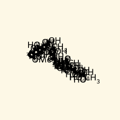 COc1cccc2c1C(=O)c1c(O)c3c(c(O)c1C2=O)C[C@@](O)(C(=O)CO)C[C@@H]3O[C@@H]1CC(NC(=O)C(CC(C)C)NC(=O)C(CC(N)=O)NC(=O)C(C)NC(=O)C(C)NC(=O)C(O)C(O)C(O)C(O)C(C)O)[C@@H](O)C(C)O1